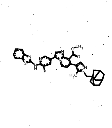 COC(=O)c1c(-c2cnn(CC34CC5CC(CC(C5)C3)C4)c2C)ccn2c(-c3cnc(Nc4nc5ccccc5s4)c(F)c3)cnc12